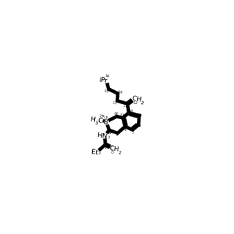 C=C(CC)NC1Cc2cccc(C(=C)CCCC(C)C)c2CB1C